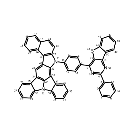 c1ccc(-c2nc(-c3ccc(-n4c5ccc6ccccc6c5c5cc6c7ccccc7n7c8ccccc8c(c54)c67)cc3)c3sc4ccccc4c3n2)cc1